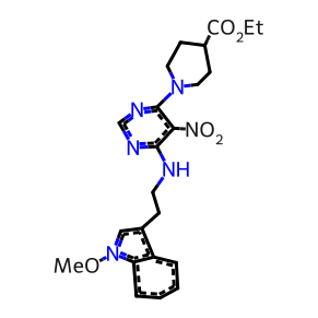 CCOC(=O)C1CCN(c2ncnc(NCCc3cn(OC)c4ccccc34)c2[N+](=O)[O-])CC1